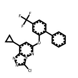 FC(F)(F)c1ccc(-c2ccccc2)c(Oc2cc(C3CC3)c3nnc(Cl)n3n2)c1